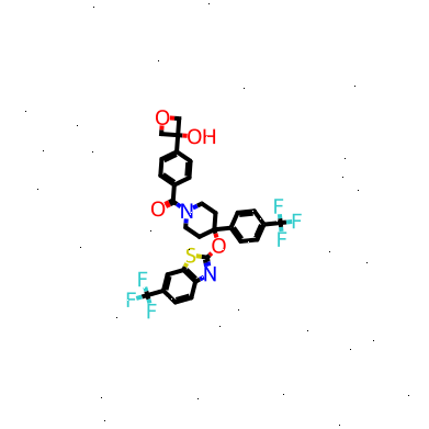 O=C(c1ccc(C2(O)COC2)cc1)N1CCC(Oc2nc3ccc(C(F)(F)F)cc3s2)(c2ccc(C(F)(F)F)cc2)CC1